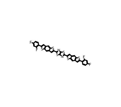 Fc1ccc(-c2cc3cc4sc(-c5nc6sc(-c7cc8cc9sc(-c%10ccc(F)cc%10F)cc9cc8s7)nc6s5)cc4cc3s2)c(F)c1